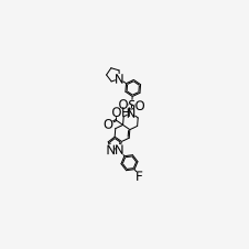 O=C(O)C12Cc3cnn(-c4ccc(F)cc4)c3C=C1CCN(S(=O)(=O)c1cccc(N3CCCC3)c1)C2